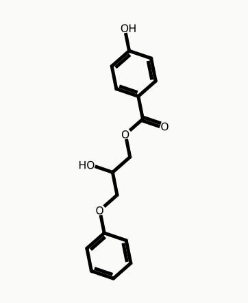 O=C(OCC(O)COc1ccccc1)c1ccc(O)cc1